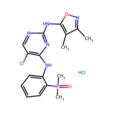 Cc1noc(Nc2ncc(Cl)c(Nc3ccccc3P(C)(C)=O)n2)c1C.Cl